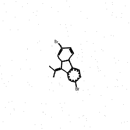 CC(C)=C1c2cc(Br)ccc2C2C=CC(Br)=CC12